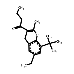 CCCC(=O)C1=C(C)Oc2c(cc(CC)cc2C(C)(C)C)C1